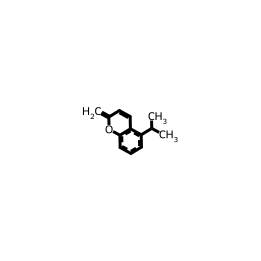 C=C1C=Cc2c(cccc2C(C)C)O1